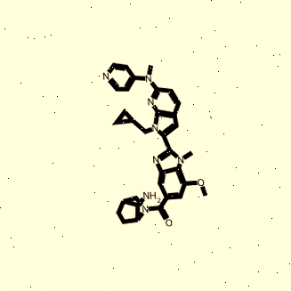 COc1cc(C(=O)N2CC3CCC2C3N)cc2nc(-c3cc4ccc(N(C)c5ccncc5)nc4n3CC3CC3)n(C)c12